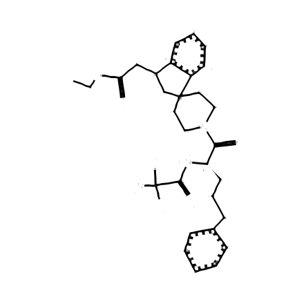 CCOC(=O)CC1CC2(CCN(C(=O)[C@@H](CCCc3ccccc3)NC(=O)C(C)(C)N)CC2)c2ccccc21